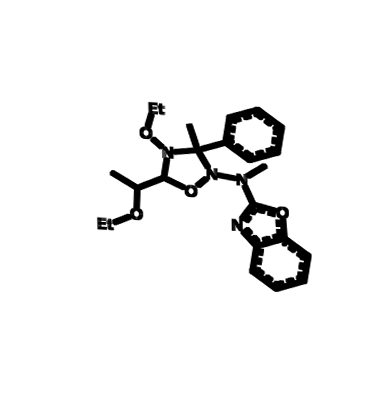 CCOC(C)C1ON(N(C)c2nc3ccccc3o2)C(C)(c2ccccc2)N1OCC